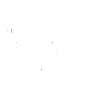 CN(CCCC(=O)NC(c1cccnc1)c1cc2ccccc2o1)CCSc1cccc2c1C(=O)N(C1CCC(=O)NC1=O)C2=O